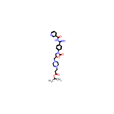 CC(C)OC(=O)CCN1CCN(CC2CN(c3ccc(C(=N)NC(=O)c4cccnc4)cc3)C(=O)O2)CC1